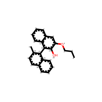 CCCOc1cc2ccccc2c(-c2c(C)ccc3ccccc23)c1O